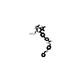 Cc1sc2c(c1C)C(c1ccc(-c3ccc(C(=O)NCc4ccc(SCc5ccccc5)cc4)cc3)cc1)=N[C@@H](CC(=O)O)c1nnc(C)n1-2